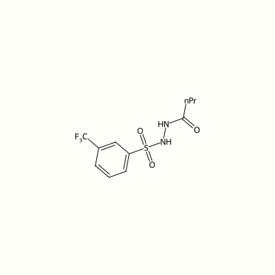 CCCC(=O)NNS(=O)(=O)c1cccc(C(F)(F)F)c1